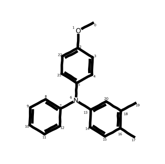 COc1ccc(N(c2ccccc2)c2ccc(C)c(C)c2)cc1